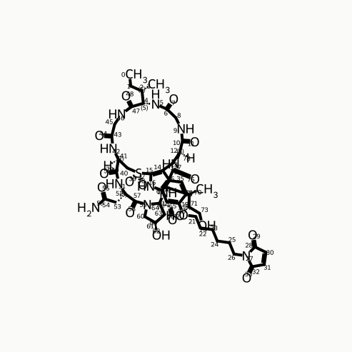 CC[C@H](C)[C@@H]1NC(=O)CNC(=O)[C@@H]2Cc3c([nH]c4cc(OCCCCCCN5C(=O)C=CC5=O)ccc34)S(=O)(=O)C[C@H](NC(=O)CNC1=O)C(=O)N[C@@H](CC(N)=O)C(=O)N1C[C@H](O)C[C@]1(C=O)N[C@@H]([C@@H](C)[C@@H](O)CO)C(=O)N2